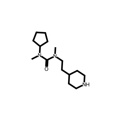 CN(CCC1CCNCC1)C(=O)N(C)C1CCCC1